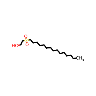 CCCCCCCCCCCCCCCS(=O)(=O)CCO